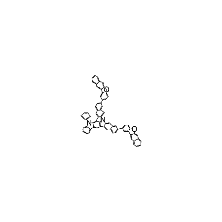 c1ccc(-n2c3ccccc3c3cc4c5cc6ccc(-c7ccc8oc9cc%10ccccc%10cc9c8c7)cc6cc5n5c6cc7cc(-c8ccc9oc%10cc%11ccccc%11cc%10c9c8)ccc7cc6c(c32)c45)cc1